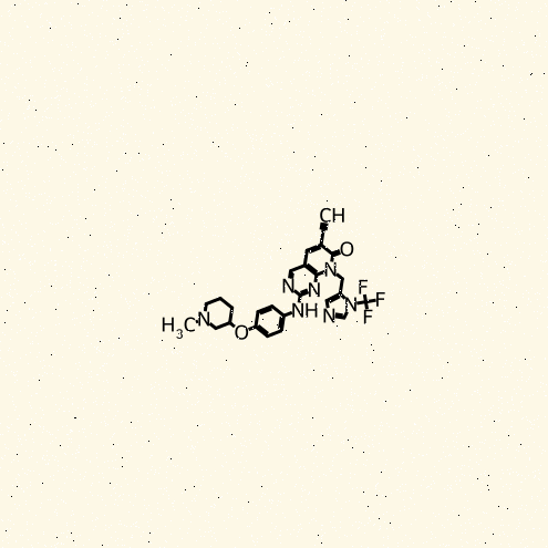 C#Cc1cc2cnc(Nc3ccc(OC4CCCN(C)C4)cc3)nc2n(Cc2cncn2C(F)(F)F)c1=O